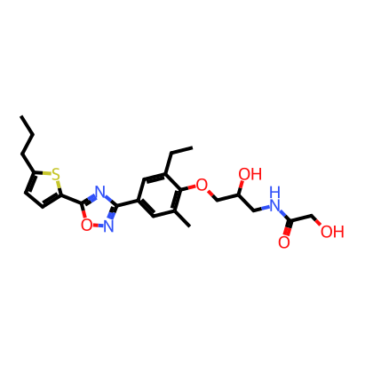 CCCc1ccc(-c2nc(-c3cc(C)c(OCC(O)CNC(=O)CO)c(CC)c3)no2)s1